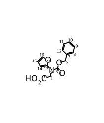 O=C(O)CN(C(=O)OCc1ccccc1)c1ccco1